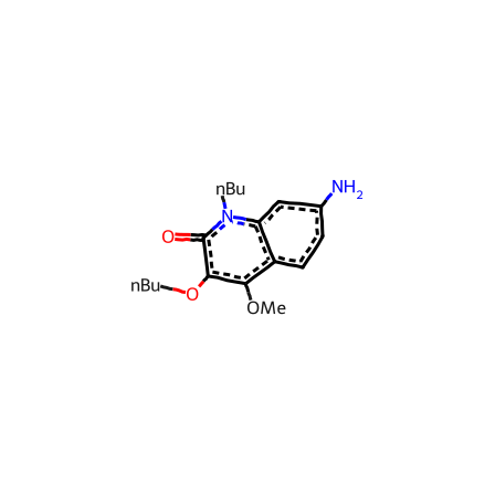 CCCCOc1c(OC)c2ccc(N)cc2n(CCCC)c1=O